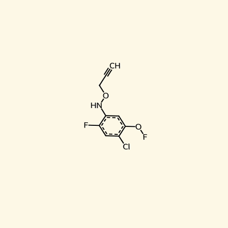 C#CCONc1cc(OF)c(Cl)cc1F